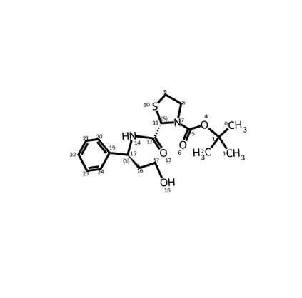 CC(C)(C)OC(=O)N1CCS[C@H]1C(=O)N[C@@H](CCO)c1ccccc1